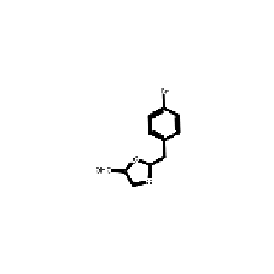 O=CC1COC(Cc2ccc(Br)cc2)O1